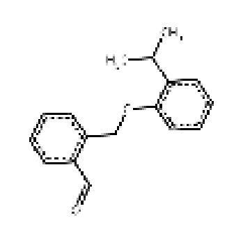 CC(C)c1ccccc1OCc1ccccc1C=O